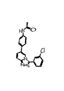 CC(=O)Nc1ccc(-c2ccc3nnc(-c4cccc(Cl)c4)n3c2)cc1